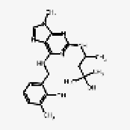 Cc1cccc(CNc2nc(NC(C)CC(C)(C)O)nc3c2ncn3C)c1O